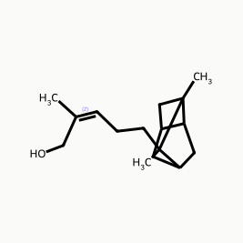 C/C(=C/CCC1(C)C2CC3CC1(C)C3C2)CO